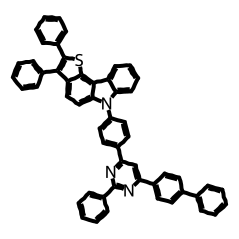 c1ccc(-c2ccc(-c3cc(-c4ccc(-n5c6ccccc6c6c7sc(-c8ccccc8)c(-c8ccccc8)c7ccc65)cc4)nc(-c4ccccc4)n3)cc2)cc1